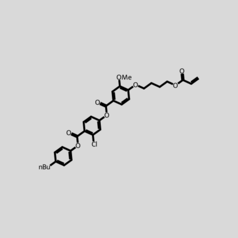 C=CC(=O)OCCCCOc1ccc(C(=O)Oc2ccc(C(=O)Oc3ccc(CCCC)cc3)c(Cl)c2)cc1OC